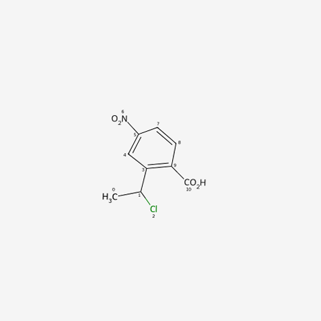 CC(Cl)c1cc([N+](=O)[O-])ccc1C(=O)O